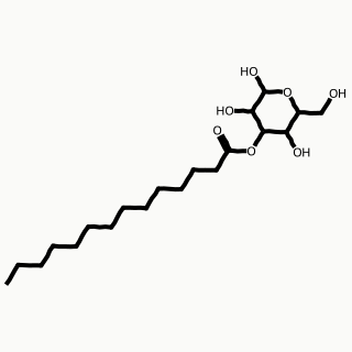 CCCCCCCCCCCCCC(=O)OC1C(O)C(O)OC(CO)C1O